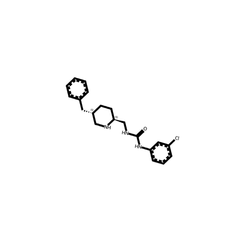 O=C(NC[C@@H]1CC[C@@H](Cc2ccccc2)CN1)Nc1cccc(Cl)c1